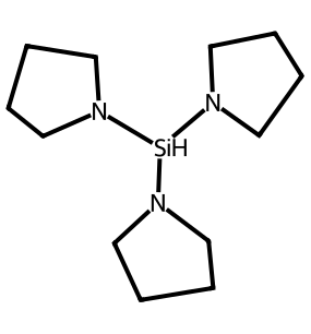 C1CCN([SiH](N2CCCC2)N2CCCC2)C1